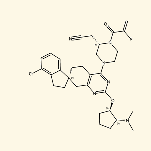 C=C(F)C(=O)N1CCN(c2nc(O[C@@H]3CCC[C@H]3N(C)C)nc3c2CC[C@@]2(CCc4c(Cl)cccc42)C3)C[C@@H]1CC#N